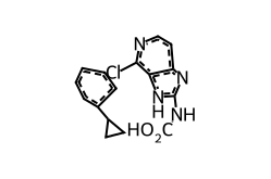 O=C(O)Nc1nc2ccnc(Cl)c2[nH]1.c1ccc(C2CC2)cc1